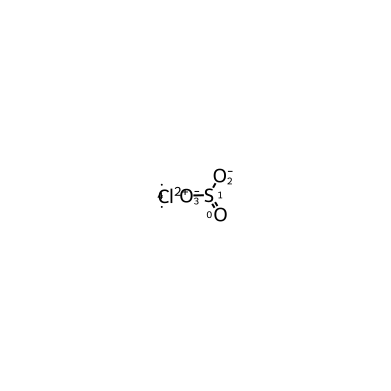 O=S([O-])[O-].[Cl+2]